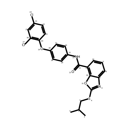 CC(C)CSc1nc2cccc(C(=O)Nc3ccc(Oc4ccc(Cl)cc4Cl)cc3)c2o1